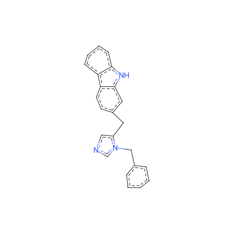 c1ccc(Cn2cncc2Cc2ccc3c(c2)[nH]c2ccccc23)cc1